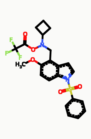 COc1ccc2c(ccn2S(=O)(=O)c2ccccc2)c1CN(OC(=O)C(F)(F)F)C1CCC1